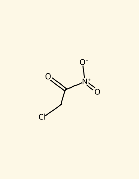 O=C(CCl)[N+](=O)[O-]